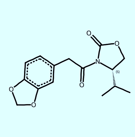 CC(C)[C@H]1COC(=O)N1C(=O)Cc1ccc2c(c1)OCO2